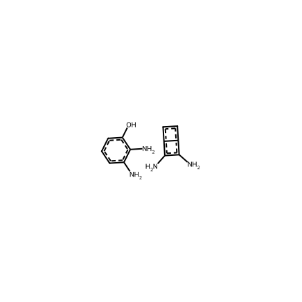 Nc1c2ccc-2c1N.Nc1cccc(O)c1N